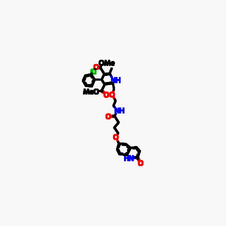 COC(=O)C1=C(C)NC(COCCNC(=O)CCCOc2ccc3[nH]c(=O)ccc3c2)=C(C(=O)OC)C1c1ccccc1Cl